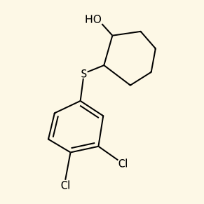 OC1CCCCC1Sc1ccc(Cl)c(Cl)c1